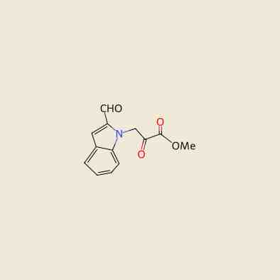 COC(=O)C(=O)Cn1c(C=O)cc2ccccc21